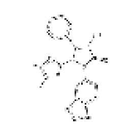 Cc1cc(C2C(c3ccccc3)=C(O)C(=O)N2c2ccc3[nH]cnc3c2)oc1C